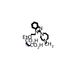 CCOCCn1c(N2CCCN(C)CC2)nc2ccccc21.O=C(O)/C=C\C(=O)O